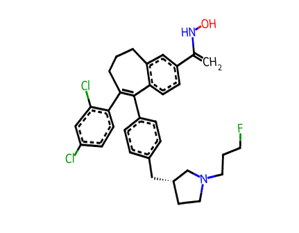 C=C(NO)c1ccc2c(c1)CCCC(c1ccc(Cl)cc1Cl)=C2c1ccc(C[C@H]2CCN(CCCF)C2)cc1